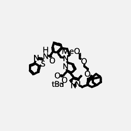 COCCOCCOC12CC3CC(CC(Cn4ncc(-c5ccc(N6CCc7cccc(C(=O)Nc8nc9ccccc9s8)c7C6)nc5C(=O)OC(C)(C)C)c4C)(C3)C1)C2